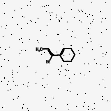 C/C=C(\CC)C1=CCCCC1